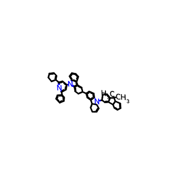 CC1(C)C2=CCC(N3c4ccc(C5C=c6c(n(-c7cc(C8=CC=CCC8)nc(-c8ccccc8)c7)c7ccccc67)=CC5)cc4C4CCC=CC43)C=C2C2C=CC=CC21